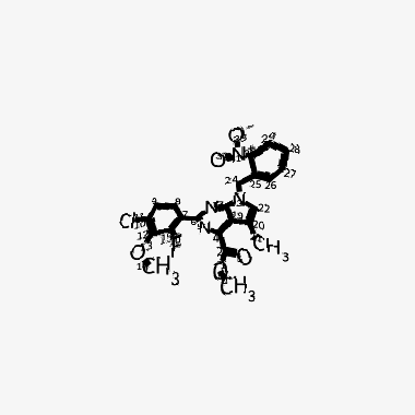 COC(=O)c1nc(-c2ccc(Cl)c(OC)c2F)nc2c1c(C)cn2Cc1ccccc1[N+](=O)[O-]